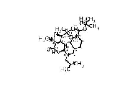 CC(C)CN(CC1CCN(C(=O)OC(C)(C)C)CC1)c1nc2c(C(C)(C)C)nn(C)c2c(=O)[nH]1